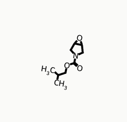 CC(C)COC(=O)N1CC2OC2C1